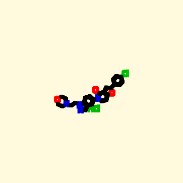 Cl.O=c1c2cc(-c3ccc(Cl)cc3)oc2ccn1-c1ccc2c(cnn2CCN2CCOCC2)c1